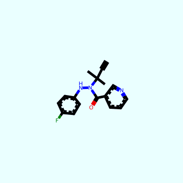 C#CC(C)(C)N(Nc1ccc(F)cc1)C(=O)c1cccnc1